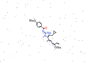 C=C/C(=C\C=C(/C)c1c(CC2CC2)[nH]/c(=N\C(=O)c2ccc(OC)cc2)n1C)OC